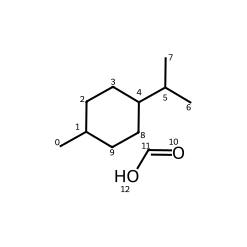 CC1CCC(C(C)C)CC1.O=CO